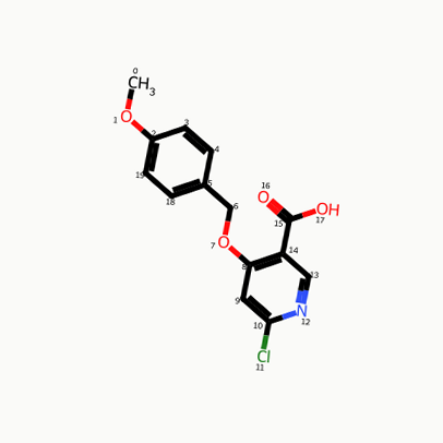 COc1ccc(COc2cc(Cl)ncc2C(=O)O)cc1